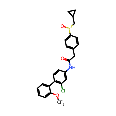 O=C(Cc1ccc([S+]([O-])CC2CC2)cc1)Nc1ccc(-c2ccccc2OC(F)(F)F)c(Cl)c1